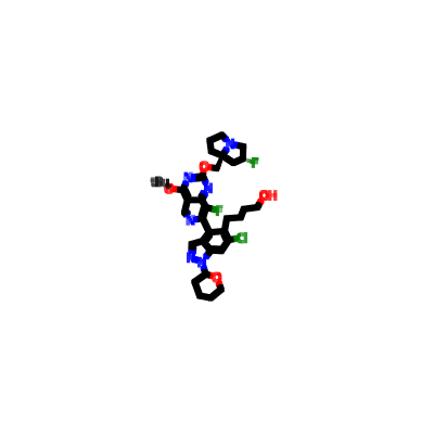 CC(C)(C)Oc1nc(OC[C@@]23CCCN2C[C@H](F)C3)nc2c(F)c(-c3c(CCCCO)c(Cl)cc4c3cnn4C3CCCCO3)ncc12